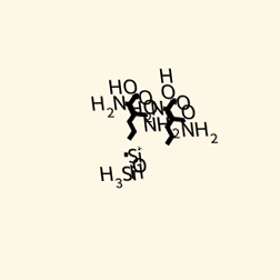 CCC/C(C(N)=O)=C(\N)C(=O)O.CCC/C(C(N)=O)=C(\N)C(=O)O.C[SiH](C)O[SiH3]